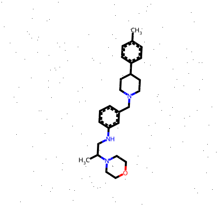 Cc1ccc(C2CCN(Cc3cccc(NCC(C)N4CCOCC4)c3)CC2)cc1